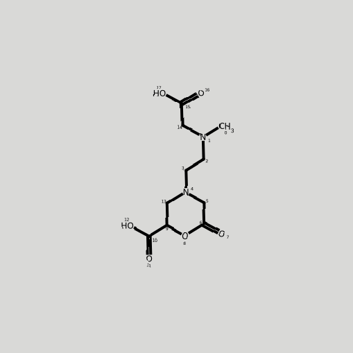 CN(CCN1CC(=O)OC(C(=O)O)C1)CC(=O)O